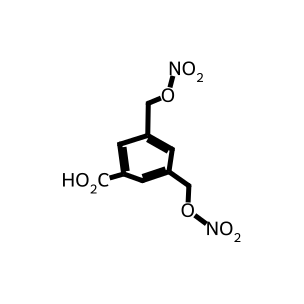 O=C(O)c1cc(CO[N+](=O)[O-])cc(CO[N+](=O)[O-])c1